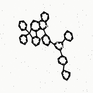 c1ccc(-c2ccc(-c3cc(-c4cccc(-c5nc6ccccc6c6ccc7c(c56)-c5ccccc5C7(c5ccccc5)c5ccccc5)c4)nc(-c4ccccc4)n3)cc2)cc1